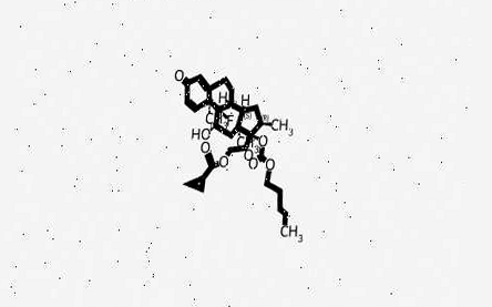 CCCCCOC(=O)O[C@]1(C(=O)COC(=O)C2CC2)[C@H](C)C[C@H]2[C@@H]3CCC4=CC(=O)C=C[C@]4(C)[C@@]3(F)[C@@H](O)C[C@@]21C